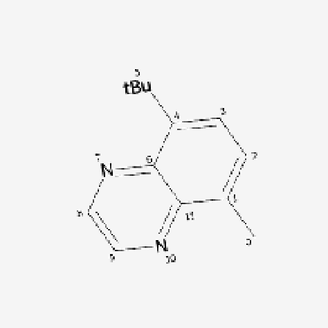 Cc1ccc(C(C)(C)C)c2nccnc12